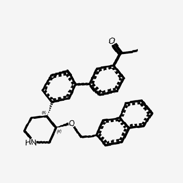 CC(=O)c1cccc(-c2cccc([C@H]3CCNC[C@@H]3OCc3ccc4ccccc4c3)c2)c1